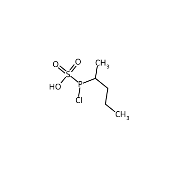 CCCC(C)P(Cl)S(=O)(=O)O